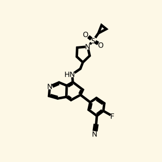 N#Cc1cc(-c2cc(NCC3CCN(S(=O)(=O)C4CC4)C3)c3cnccc3c2)ccc1F